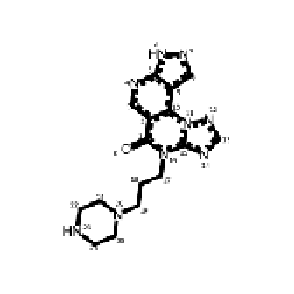 O=c1c2cnc3[nH]ncc3c2n2ncnc2n1CCCN1CCNCC1